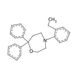 CCc1ccccc1N1CCOC(c2ccccc2)(c2ccccc2)CC1